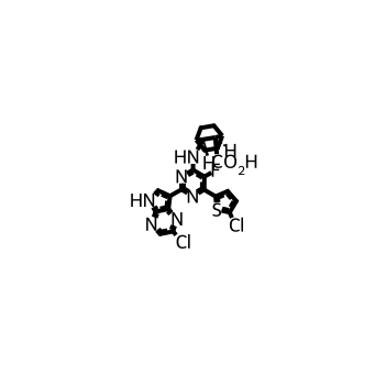 O=C(O)[C@@H]1C2CCC(CC2)[C@H]1Nc1nc(-c2c[nH]c3ncc(Cl)nc23)nc(-c2ccc(Cl)s2)c1F